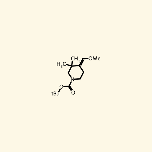 CO/C=C1\CCN(C(=O)OC(C)(C)C)CC1(C)C